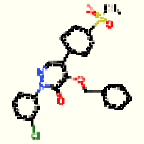 CS(=O)(=O)c1ccc(-c2cnn(-c3cccc(Cl)c3)c(=O)c2OCc2ccccc2)cc1